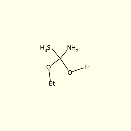 CCOC(N)([SiH3])OCC